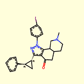 CN1CCC2CC(=O)c3c([C@@H]4C[C@H]4c4ccccc4)nn(-c4ccc(I)cc4)c3C2C1